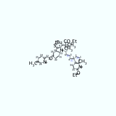 C\C=C/C(=C\C=C\Cn1c(CC(C)(C)C(=O)OCC)c(SC(C)(C)C)c2cc(OCc3ccc(C)cn3)ccc21)c1ccc(OCC)nc1